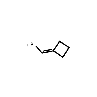 CCCC=C1[CH]CC1